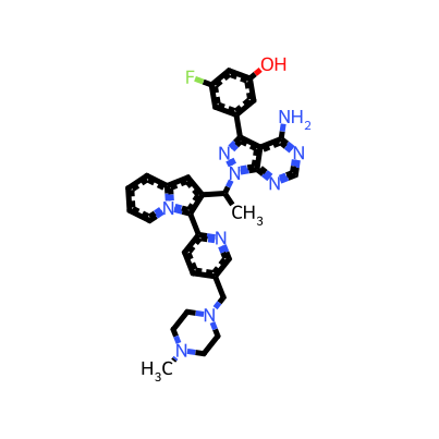 CC(c1cc2ccccn2c1-c1ccc(CN2CCN(C)CC2)cn1)n1nc(-c2cc(O)cc(F)c2)c2c(N)ncnc21